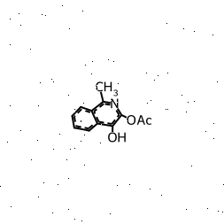 CC(=O)Oc1nc(C)c2ccccc2c1O